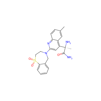 Cc1ccc2nc(N3CCS(=O)(=O)c4ccccc4C3)cc([C@@](C)(N)C(N)=O)c2c1